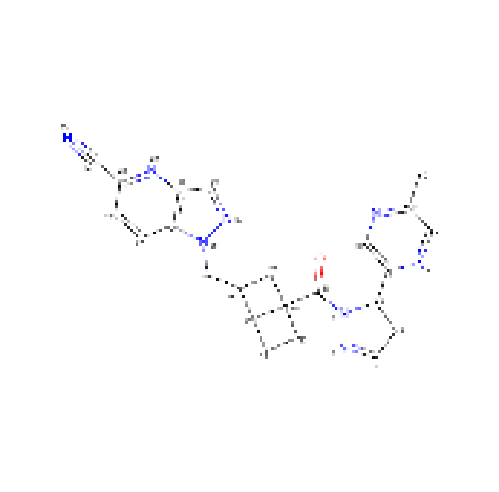 Cc1cnc(C2CC=NN2C(=O)C23CCC2C(Cn2ncc4nc(C#N)ccc42)C3)cn1